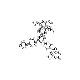 CC(C)(C)OC(=O)N1CCN(c2cc(-c3noc(C4(C)CCCc5sc(N)c(C#N)c54)n3)nc(N3CCC(N4CCOCC4)CC3)c2)CC1